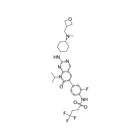 CC(C)n1c(=O)c(-c2ccc(NS(=O)(=O)CCC(F)(F)F)c(F)c2)cc2cnc(N[C@H]3CC[C@H](N(C)CC4COC4)CC3)nc21